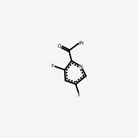 CC(C)C(=O)c1ncc(F)cc1F